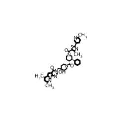 Cc1ccc(-c2nc(C)c(C(=O)N3CC[C@@H](C(=O)N4CCC(O)(Cn5cnc6c(cc7c(C)cc(C)nn76)c5=O)CC4)[C@H](c4ccccc4)C3)s2)cn1